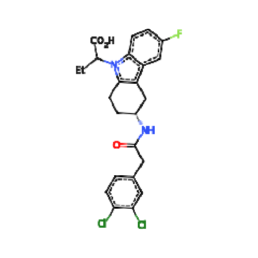 CCC(C(=O)O)n1c2c(c3cc(F)ccc31)C[C@H](NC(=O)Cc1ccc(Cl)c(Cl)c1)CC2